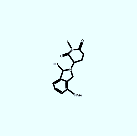 CNc1cccc2c1CN(C1CCC(=O)N(I)C1=O)C2O